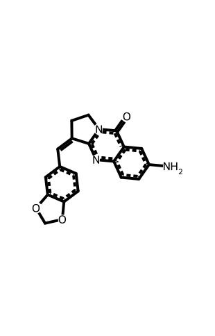 Nc1ccc2nc3n(c(=O)c2c1)CC/C3=C/c1ccc2c(c1)OCO2